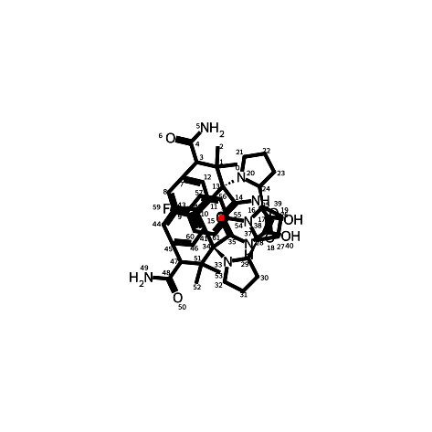 CC1(C)C(C(N)=O)c2cccc(c2)[C@@]1(C(=O)NC(=O)O)N1CCCC1[C@H]1CC[C@@H](C2CCCN2[C@]2(C(=O)NC(=O)O)c3cccc(c3)C(C(N)=O)C2(C)C)N1c1ccc(F)cc1